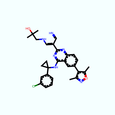 Cc1noc(C)c1-c1ccc2nc(/C(C=N)=C/NCC(C)(C)O)nc(NC3(c4cccc(Cl)c4)CC3)c2c1